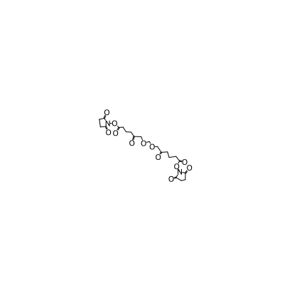 O=C(CCCC(=O)ON1C(=O)CCC1=O)COCOCC(=O)CCCC(=O)ON1C(=O)CCC1=O